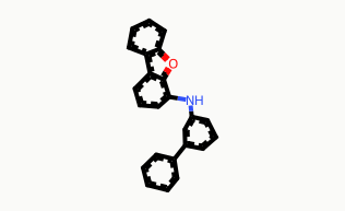 c1ccc(-c2cccc(Nc3cccc4c3oc3ccccc34)c2)cc1